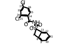 O=C(NS(=O)(=O)C1Cc2ccccc21)c1ccc(Cl)cc1Cl